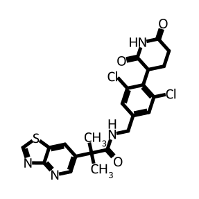 CC(C)(C(=O)NCc1cc(Cl)c(C2CCC(=O)NC2=O)c(Cl)c1)c1cnc2ncsc2c1